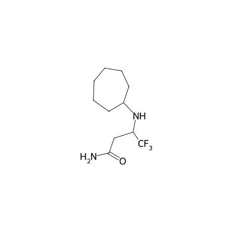 NC(=O)CC(NC1CCCCCC1)C(F)(F)F